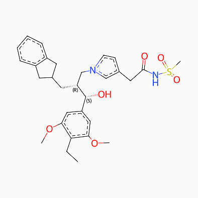 CCc1c(OC)cc([C@@H](O)[C@H](CC2Cc3ccccc3C2)Cn2ccc(CC(=O)NS(C)(=O)=O)c2)cc1OC